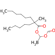 BC(OC=O)OC(=O)C(C)(CCCCC)CCCCCC